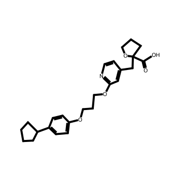 O=C(O)C1(Cc2ccnc(OCCCOc3ccc(C4CCCC4)cc3)c2)CCCO1